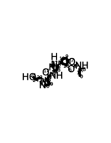 CC[C@H](C)NC(=O)O[C@@H]1CC[C@H](c2cc(NC(=O)c3ccnn3CCO)n[nH]2)C1